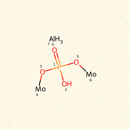 O=P(O)([O][Mo])[O][Mo].[AlH3]